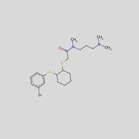 CN(C)CCCN(C)C(=O)CSC1CCCCC1Sc1cccc(Br)c1